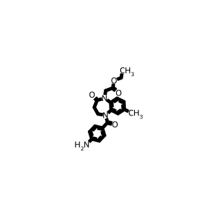 CCOC(=O)CN1C(=O)CCN(C(=O)c2ccc(N)cc2)c2cc(C)ccc21